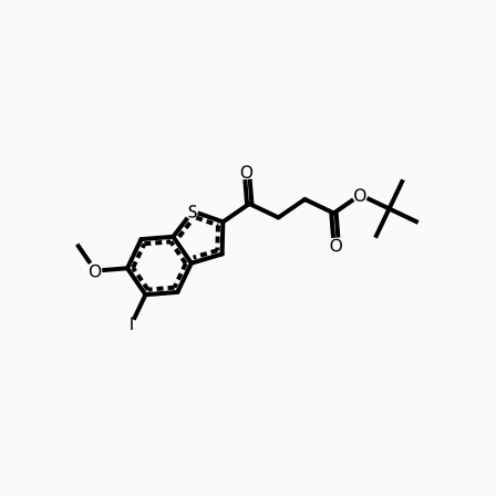 COc1cc2sc(C(=O)CCC(=O)OC(C)(C)C)cc2cc1I